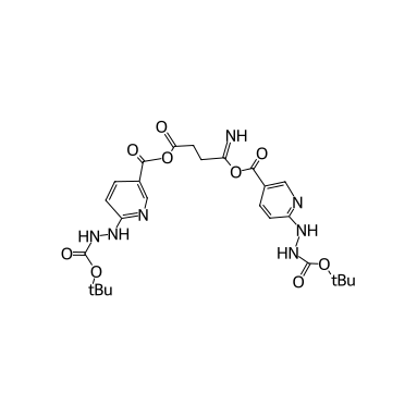 CC(C)(C)OC(=O)NNc1ccc(C(=O)OC(=N)CCC(=O)OC(=O)c2ccc(NNC(=O)OC(C)(C)C)nc2)cn1